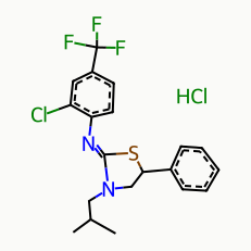 CC(C)CN1CC(c2ccccc2)S/C1=N\c1ccc(C(F)(F)F)cc1Cl.Cl